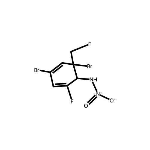 O=[N+]([O-])NC1C(F)=CC(Br)=CC1(Br)CF